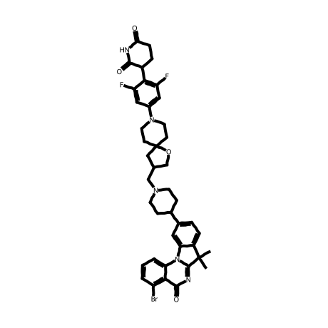 CC1(C)c2ccc(C3CCN(CC4COC5(CCN(c6cc(F)c(C7CCC(=O)NC7=O)c(F)c6)CC5)C4)CC3)cc2-n2c1nc(=O)c1c(Br)cccc12